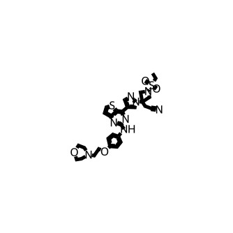 CCS(=O)(=O)N1CC(CC#N)(n2cc(-c3nc(Nc4ccc(OCCN5CCOCC5)cc4)nc4ccsc34)cn2)C1